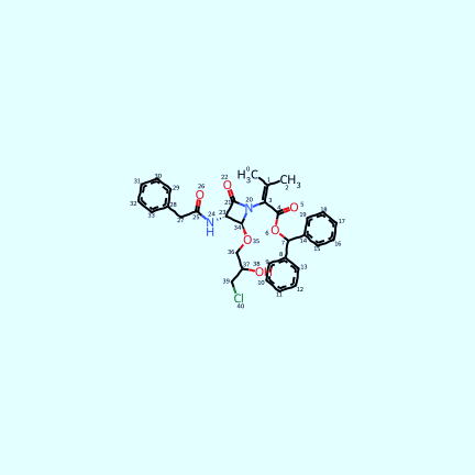 CC(C)=C(C(=O)OC(c1ccccc1)c1ccccc1)N1C(=O)[C@@H](NC(=O)Cc2ccccc2)[C@@H]1OCC(O)CCl